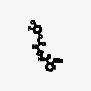 CSc1ncccc1C(=O)NC12CC(NC(=O)COc3ccc(Cl)c(F)c3)(C1)C2